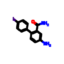 NC(=O)c1cc(N)ccc1-c1ccc(I)cc1